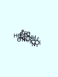 Cc1cccc2ncc(-c3cn4nc(C(=O)O)c(C(F)(F)F)c4c(=O)[nH]3)cc12